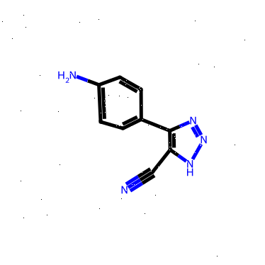 N#Cc1[nH]nnc1-c1ccc(N)cc1